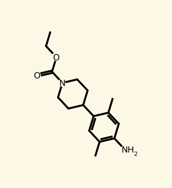 CCOC(=O)N1CCC(c2cc(C)c(N)cc2C)CC1